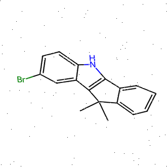 CC1(C)c2ccccc2-c2[nH]c3ccc(Br)cc3c21